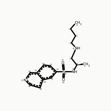 CCCCNC[C@@H](C)NS(=O)(=O)c1ccc2cnccc2c1